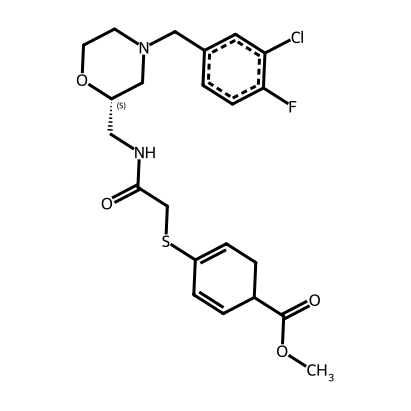 COC(=O)C1C=CC(SCC(=O)NC[C@H]2CN(Cc3ccc(F)c(Cl)c3)CCO2)=CC1